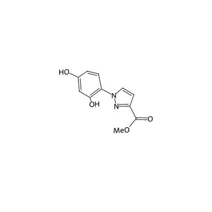 COC(=O)c1ccn(-c2ccc(O)cc2O)n1